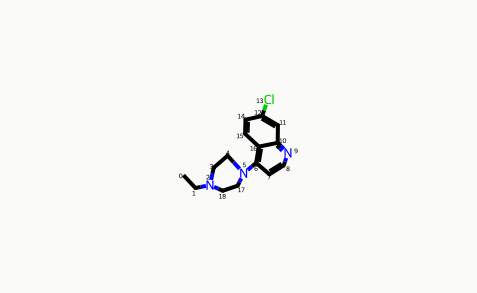 CCN1CCN(c2ccnc3cc(Cl)ccc23)CC1